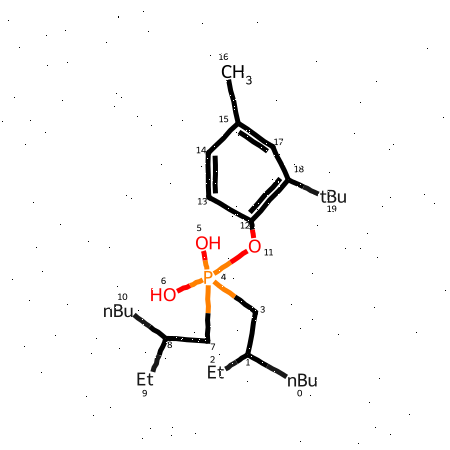 CCCCC(CC)CP(O)(O)(CC(CC)CCCC)Oc1ccc(C)cc1C(C)(C)C